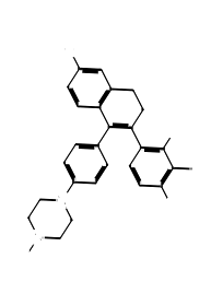 CC(C)N1CCN(c2ccc(C3=C(c4ccc(F)c(F)c4F)CCc4cc(O)ccc43)cc2)CC1